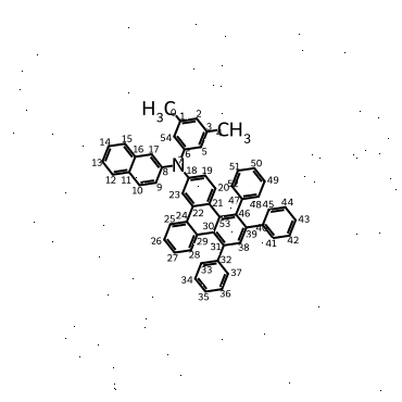 Cc1cc(C)cc(N(c2ccc3ccccc3c2)c2ccc3c(c2)c2ccccc2c2c(-c4ccccc4)cc(-c4ccccc4)c(-c4ccccc4)c32)c1